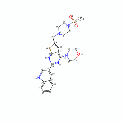 CS(=O)(=O)N1CCN(Cc2cc3c(N4CCOCC4)nc(-c4cnc5ccccc5c4)nc3s2)CC1